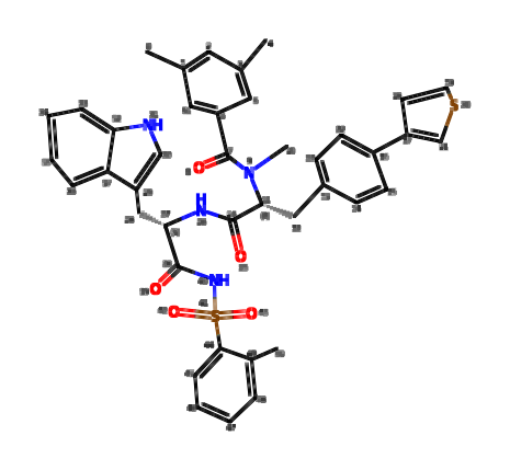 Cc1cc(C)cc(C(=O)N(C)[C@H](Cc2ccc(-c3ccsc3)cc2)C(=O)N[C@@H](Cc2c[nH]c3ccccc23)C(=O)NS(=O)(=O)c2ccccc2C)c1